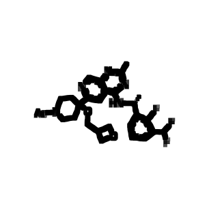 CC(=O)N1CCC(OCC2COC2)(c2cc3c(N[C@H](C)c4cccc(C(F)F)c4F)nc(C)nc3cn2)CC1